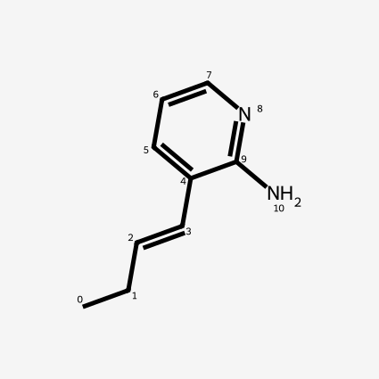 CC/C=C/c1cccnc1N